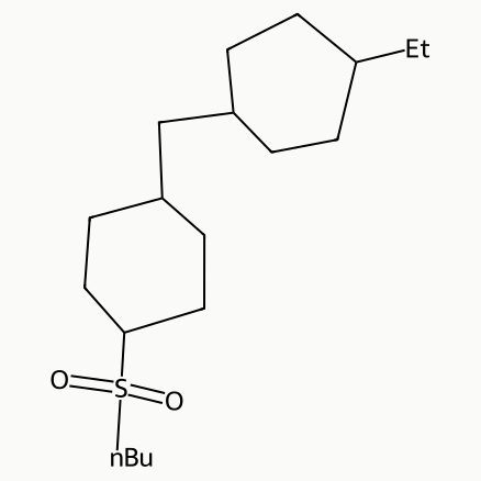 CCCCS(=O)(=O)C1CCC(CC2CCC(CC)CC2)CC1